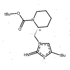 CC(C)(C)OC(=O)N1CCCC[C@@H]1Cn1cc(C(C)(C)C)sc1=N